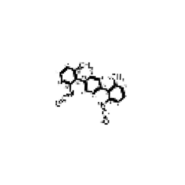 Cc1cccc(N=C=O)c1-c1ccc(-c2c(C)cccc2N=C=O)cc1